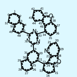 c1ccc2cc(-c3nc(-c4cc(-c5cccc6oc7cccnc7c56)c5ccccc5c4)nc(-c4cccc5oc6ccccc6c45)n3)ccc2c1